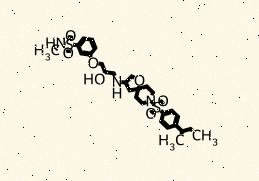 CCC(C)c1ccc(S(=O)(=O)N2CCC3(CC2)CC(NCC(O)COc2cccc(S(=O)(=O)NC)c2)CO3)cc1